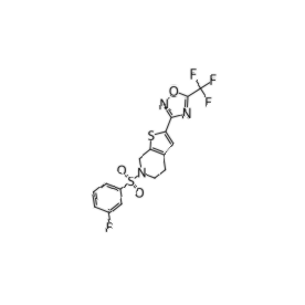 O=S(=O)(c1cccc(F)c1)N1CCc2cc(-c3noc(C(F)(F)F)n3)sc2C1